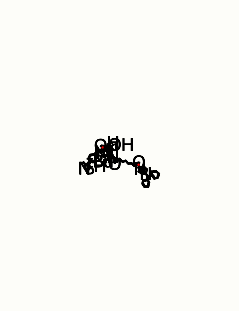 Cc1ncsc1-c1ccc(CNC(=O)[C@@H]2C[C@@H](O)CN2C(=O)[C@@H](NC(=O)CCCCCCC(=O)N2CCN(C(c3ccccc3)c3ccccc3)CC2)C(C)(C)C)cc1